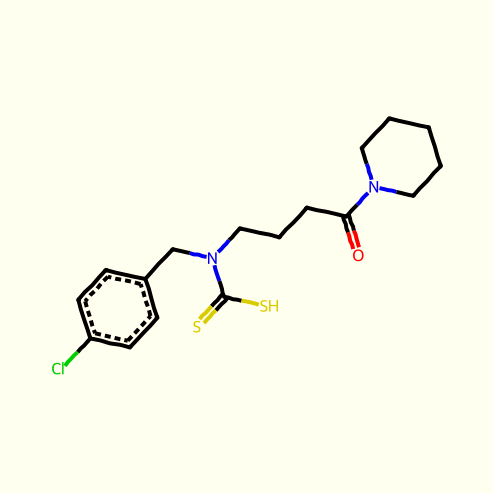 O=C(CCCN(Cc1ccc(Cl)cc1)C(=S)S)N1CCCCC1